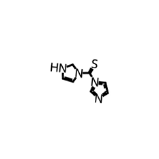 S=C(N1C=CNC1)n1ccnc1